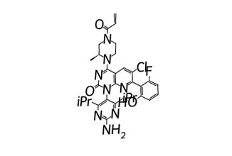 C=CC(=O)N1CCN(c2nc(=O)n(-c3c(C(C)C)nc(N)nc3C(C)C)c3nc(-c4c(O)cccc4F)c(Cl)cc23)[C@@H](C)C1